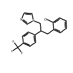 FC(F)(F)c1ccc(C(Cc2ccccc2Cl)Cn2ccnc2)cc1